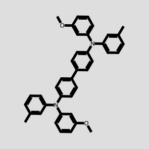 COc1cccc(N(c2ccc(-c3ccc(N(c4cccc(C)c4)c4cccc(OC)c4)cc3)cc2)c2cccc(C)c2)c1